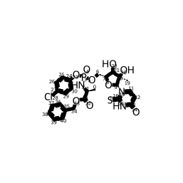 C[C@H](NP(=O)(OC[C@H]1O[C@@H](n2ccc(=O)[nH]c2=S)[C@](C)(O)C1O)Oc1ccc(Cl)cc1)C(=O)OCc1ccccc1